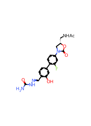 CC(=O)NC[C@H]1CN(c2ccc(-c3ccc(C=NNC(N)=O)c(O)c3)c(F)c2)C(=O)O1